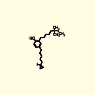 CCC(C)(C)CCCCCc1cc(CCCCCC2(I)CC2)ccc1O